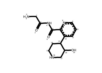 NCC(=O)NC(=O)c1ncccc1C1CCNCC1O